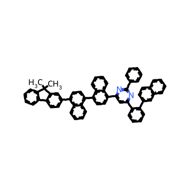 CC1(C)c2ccccc2-c2ccc(-c3ccc(-c4ccc(-c5cc(-c6ccccc6-c6ccc7ccccc7c6)nc(-c6ccccc6)n5)c5ccccc45)c4ccccc34)cc21